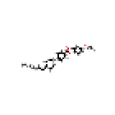 COC/C=C/C1CCC(c2ccc(C(=O)Oc3ccc(OC(F)(F)F)cc3)cc2)CC1